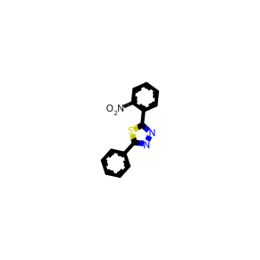 O=[N+]([O-])c1ccccc1-c1nnc(-c2ccccc2)s1